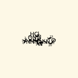 CC(C)(C)NC(=O)Nc1ncnc2c1cnn2CCN1CCOCC1.Cl